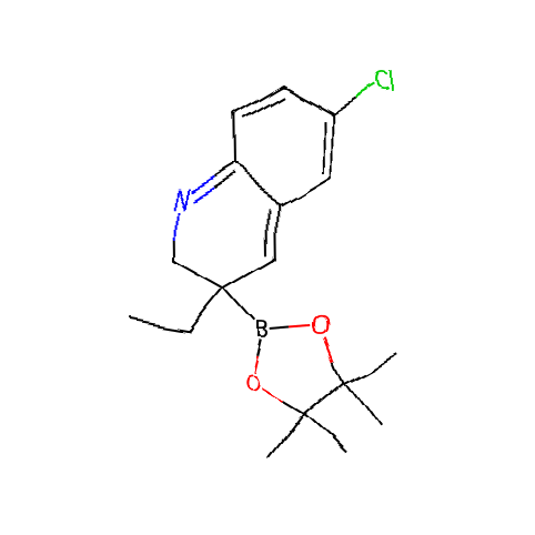 CCC1(B2OC(C)(C)C(C)(C)O2)C=c2cc(Cl)ccc2=NC1